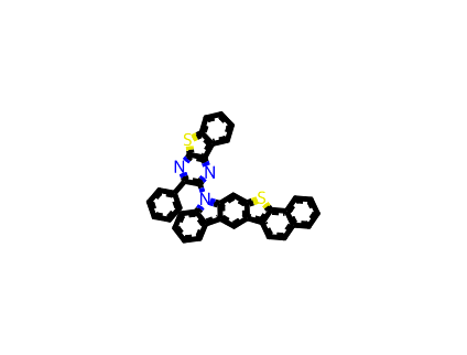 c1ccc(-c2nc3sc4ccccc4c3nc2-n2c3ccccc3c3cc4c(cc32)sc2c3ccccc3ccc42)cc1